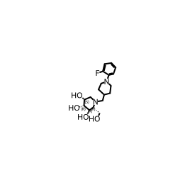 OC[C@@H]1[C@@H](O)[C@H](O)[C@@H](O)CN1CC1CCN(c2ccccc2F)CC1